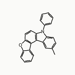 Cc1ccc2c(c1)c1c3c(ccc1n2-c1ccccc1)oc1ccccc13